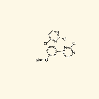 CCCCOc1cccc(-c2ccnc(Cl)n2)c1.Clc1ccnc(Cl)n1